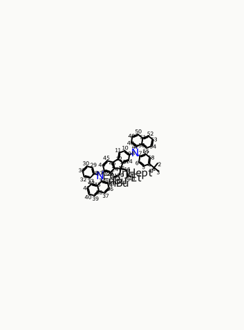 CCCCCCCC(C)(C)c1ccc(N(c2ccc3c(c2)C(CC(CC)CCCC)(CC(CC)CCCC)c2cc(N(c4ccccc4)c4cccc5ccccc45)ccc2-3)c2cccc3ccccc23)cc1